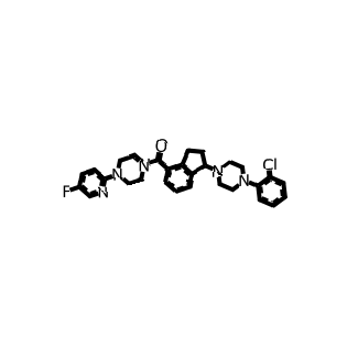 O=C(c1cccc2c1CCC2N1CCN(c2ccccc2Cl)CC1)N1CCN(c2ccc(F)cn2)CC1